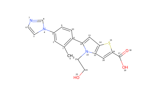 Cc1cc(-n2ccnc2)ccc1-c1cc2sc(C(=O)O)cc2n1CCO